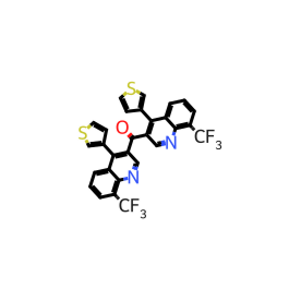 O=C(c1cnc2c(C(F)(F)F)cccc2c1-c1ccsc1)c1cnc2c(C(F)(F)F)cccc2c1-c1ccsc1